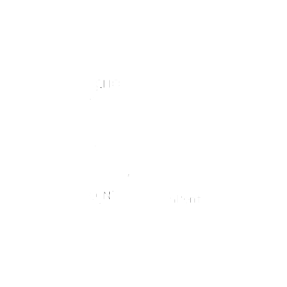 CCCCC/C=C/C/C=C(/C/C=C/CCCC[C]=O)[N+](=O)[O-]